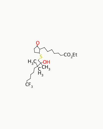 CCOC(=O)CCCCCCC1C(=O)CCC1SCC(C)(O)C(C)(C)CCCCCC(F)(F)F